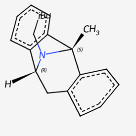 CCC(C)CN1[C@@H]2Cc3ccccc3[C@@]1(C)c1ccccc12